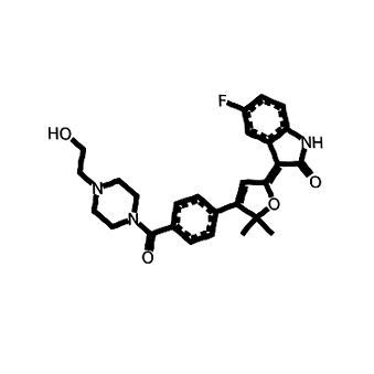 CC1(C)OC(=C2C(=O)Nc3ccc(F)cc32)C=C1c1ccc(C(=O)N2CCN(CCO)CC2)cc1